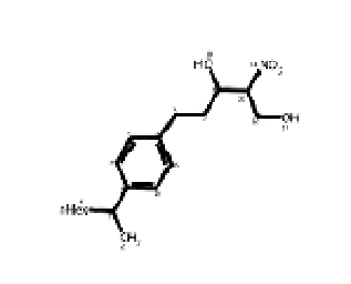 CCCCCCC(C)c1ccc(CCC(O)C(CO)[N+](=O)[O-])cc1